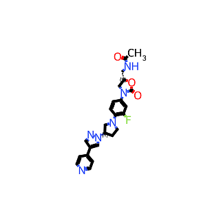 CC(=O)NC[C@H]1CN(c2ccc(N3CC[C@@H](n4cc(-c5ccncc5)cn4)C3)c(F)c2)C(=O)O1